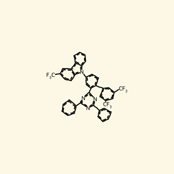 FC(F)(F)c1cc(-c2ccc(-n3c4ccccc4c4cc(C(F)(F)F)ccc43)cc2-c2nc(-c3ccccc3)nc(-c3ccccc3)n2)cc(C(F)(F)F)c1